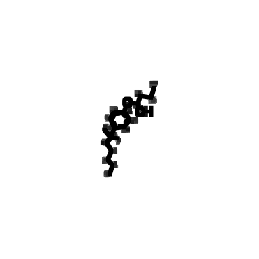 CCCCCC(C)(C)c1ccc(OC(O)CCC)cc1